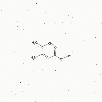 CC(C)OC(=O)/C=C(/N)N(C)C